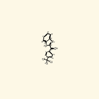 O=C(c1ccc(C(Cl)(Cl)Cl)cc1)c1nc2ccccc2s1